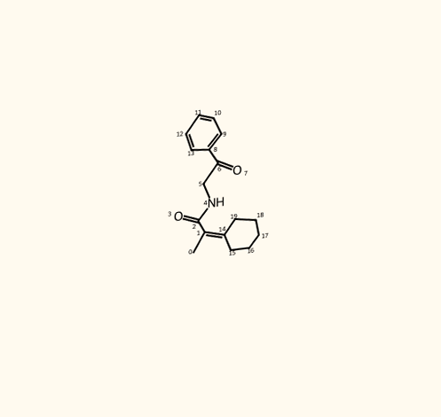 CC(C(=O)NCC(=O)c1ccccc1)=C1CCCCC1